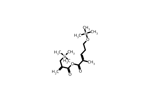 C=C(C[Si](C)(C)C)C(=O)OC(=O)C(C)=CCCO[Si](C)(C)C